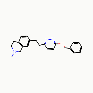 CN1CCc2ccc(CCc3ccc(OCc4ccccc4)nn3)cc2C1